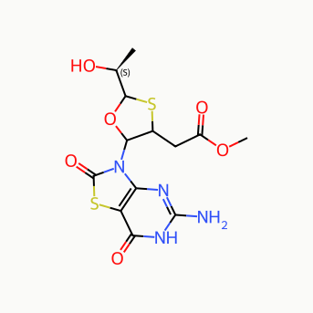 COC(=O)CC1SC([C@H](C)O)OC1n1c(=O)sc2c(=O)[nH]c(N)nc21